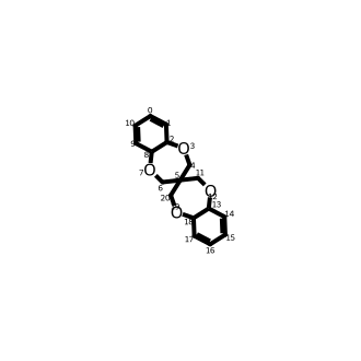 C1=CC2OCC3(COC2C=C1)COC1C=CC=CC1OC3